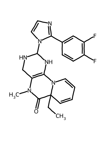 CCC12C=CC=CN1C1=C(CNC(n3ccnc3-c3ccc(F)c(F)c3)N1)N(C)C2=O